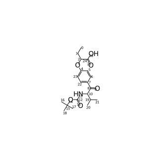 CCC(Oc1ccc(C(=O)C(NC(=O)OC(C)(C)C)C(C)C)cc1)C(=O)O